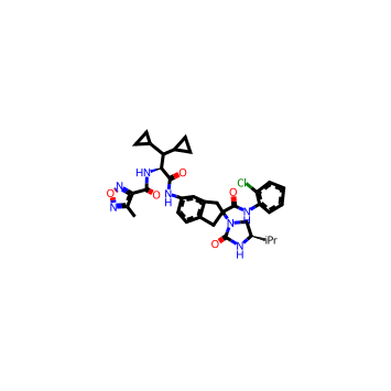 Cc1nonc1C(=O)N[C@H](C(=O)Nc1ccc2c(c1)CC(C(=O)Nc1ccccc1Cl)(N1C[C@@H](C(C)C)NC1=O)C2)C(C1CC1)C1CC1